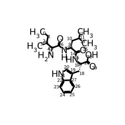 CC[C@H](C)[C@H](N)C(=O)N[C@@H](CC(C)C)C(=O)N[C@@H](Cc1c[nH]c2ccccc12)C(=O)O